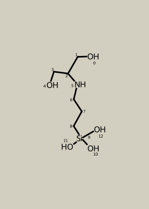 OCC(CO)NCCC[Si](O)(O)O